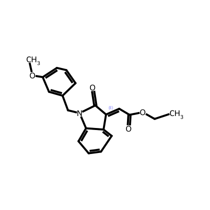 CCOC(=O)/C=C1/C(=O)N(Cc2cccc(OC)c2)c2ccccc21